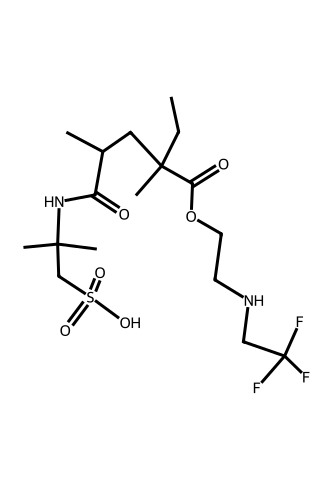 CCC(C)(CC(C)C(=O)NC(C)(C)CS(=O)(=O)O)C(=O)OCCNCC(F)(F)F